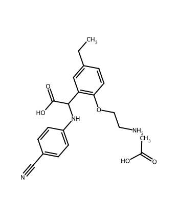 CC(=O)O.CCc1ccc(OCCN)c(C(Nc2ccc(C#N)cc2)C(=O)O)c1